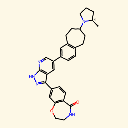 C[C@@H]1CCCN1C1CCc2ccc(-c3cnc4[nH]nc(-c5ccc6c(c5)OCCNC6=O)c4c3)cc2CC1